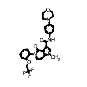 Cn1cc(C(=O)Nc2ccc(N3CCOCC3)cc2)c2c(=O)n(-c3ccccc3OCC(F)(F)F)ccc21